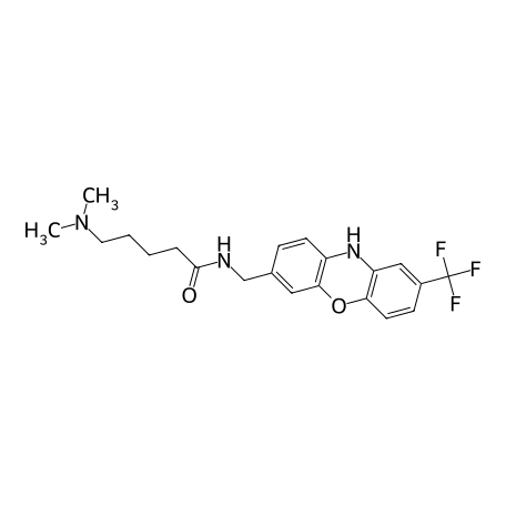 CN(C)CCCCC(=O)NCc1ccc2c(c1)Oc1ccc(C(F)(F)F)cc1N2